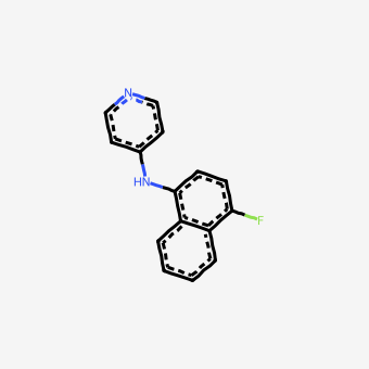 Fc1ccc(Nc2ccncc2)c2ccccc12